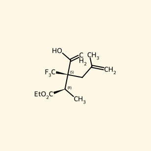 C=C(C)C[C@@](C(=C)O)([C@@H](C)C(=O)OCC)C(F)(F)F